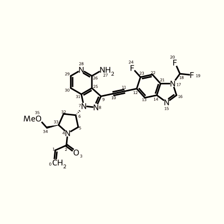 C=CC(=O)N1C[C@@H](n2nc(C#Cc3cc4ncn(C(F)F)c4cc3F)c3c(N)nccc32)C[C@@H]1COC